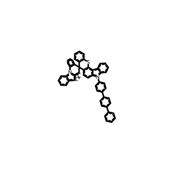 c1ccc(-c2ccc(-c3ccc(-n4c5ccccc5c5c6c(ccc54)C4(c5ccccc5S6)c5ccccc5-n5c6ccccc6c6cccc4c65)cc3)cc2)cc1